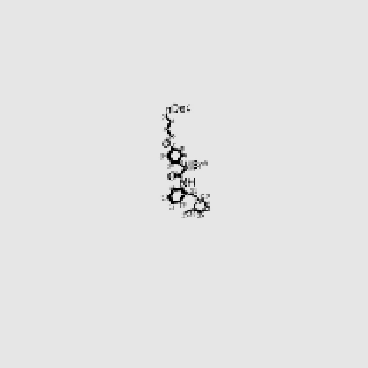 Br.CCCCCCCCCCCCCCOc1ccc(CC(=O)Nc2ccccc2CN2CSC=C2C)cc1